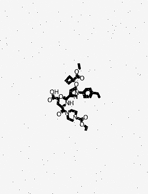 CCOC(=O)N1CCN(C(=O)C(CCC(=O)O)NC(=O)c2cc(OC3(C(=O)OCC)CCC3)n(-c3ccc(CC)cc3)n2)CC1